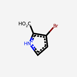 O=C(O)c1[nH]ccc1Br